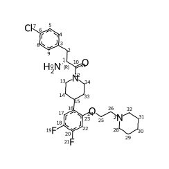 N[C@H](Cc1ccc(Cl)cc1)C(=O)N1CCC(c2cc(F)c(F)cc2OCCN2CCCCC2)CC1